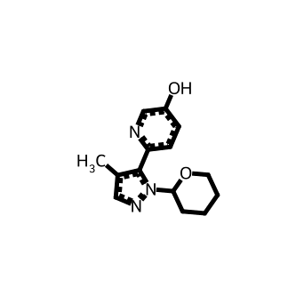 Cc1cnn(C2CCCCO2)c1-c1ccc(O)cn1